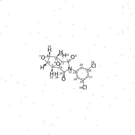 O=C1[C@@H]2[C@@H]3O[C@@H]([C@@H]4O[C@@H]43)[C@@H]2C(=O)N1c1cc(Cl)cc(Cl)c1